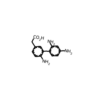 Nc1ccc(-c2cc(CC(=O)O)ccc2N)c(N)c1